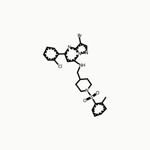 Cc1ccccc1S(=O)(=O)N1CCC(CNc2cc(-c3ccccc3Cl)nc3c(Br)cnn23)CC1